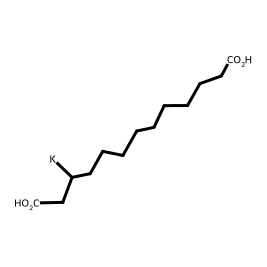 O=C(O)CCCCCCCCC[CH]([K])CC(=O)O